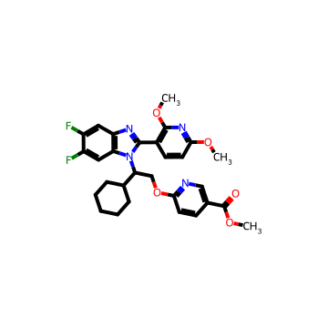 COC(=O)c1ccc(OCC(C2CCCCC2)n2c(-c3ccc(OC)nc3OC)nc3cc(F)c(F)cc32)nc1